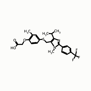 Cc1cc(SCc2c(C(C)C)nc(-c3ccc(C(F)(F)F)cc3)n2C)ccc1OCC(=O)O